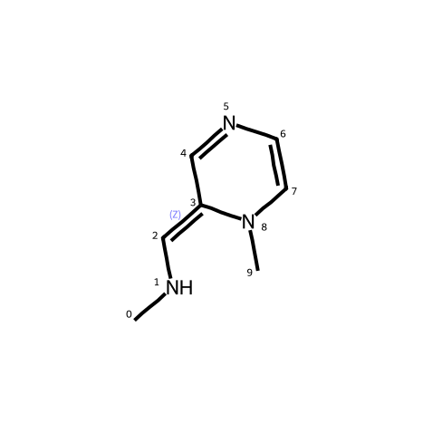 CN/C=C1/C=NC=CN1C